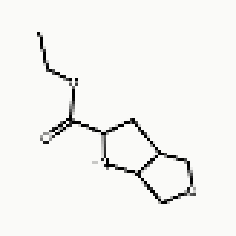 CCOC(=O)C1CC2COCC2N1